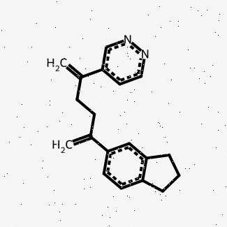 C=C(CCC(=C)c1ccc2c(c1)CCC2)c1ccnnc1